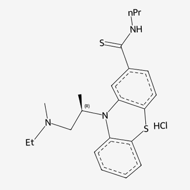 CCCNC(=S)c1ccc2c(c1)N([C@H](C)CN(C)CC)c1ccccc1S2.Cl